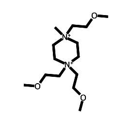 COCC[N+]1(C)CC[N+](CCOC)(CCOC)CC1